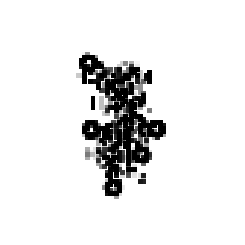 C[C@@H](O)[C@H](NC(=O)C(C)(C)NC(=O)[C@@H](Cc1c[nH]c2ccccc12)NC(=O)[C@H](Cc1c[nH]c2ccccc12)NC(=O)[C@H](Cc1ccccc1)NC(=O)[C@H](CS)NC(=O)[C@H](N)Cc1ccccc1)C(=O)N[C@@H](Cc1ccccc1)C(=O)O